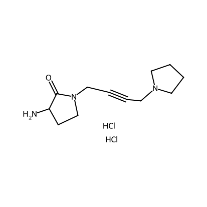 Cl.Cl.NC1CCN(CC#CCN2CCCC2)C1=O